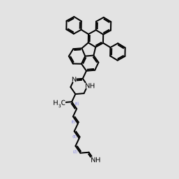 C\C(=C/C=C/C=C/C=C\C=N)C1CN=C(c2ccc3c4c(cccc24)-c2c-3c(-c3ccccc3)c3ccccc3c2-c2ccccc2)NC1